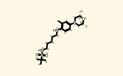 Cc1cc(N2C[C@@H](C)O[C@@H](C)C2)ccc1NCCCCCNS(=O)(=O)C(C)(C)C